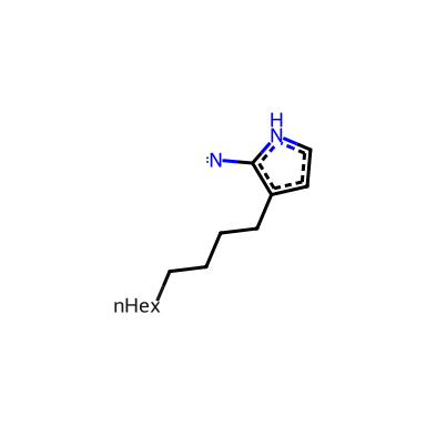 CCCCCCCCCCc1cc[nH]c1[N]